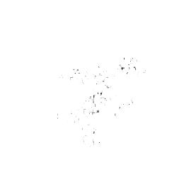 CC(=O)N[C@H](C(=O)N[C@@H](CCCNC(=N)N)C(=O)N[C@@H](CCC(N)=O)C(=O)N(C)[C@@H](CCCNC(=N)N)C(=O)N[C@@H](Cc1ccc(O)cc1)C(N)=O)[C@@H](C)O